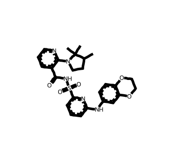 CC1CCN(c2ncccc2C(=O)NS(=O)(=O)c2cccc(Nc3ccc4c(c3)OCCO4)n2)C1(C)C